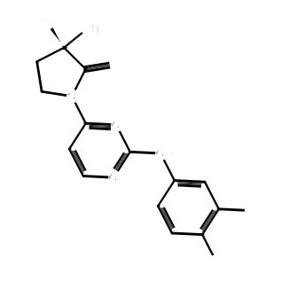 CC(C)[C@]1(C#N)CCN(c2ccnc(Nc3ccc(C(=O)O)c(F)c3)n2)C1=O